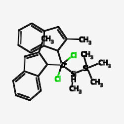 CC1=Cc2ccccc2[CH]1[Zr]([Cl])([Cl])([CH]1C(C)=Cc2ccccc21)[SiH](C)[Si](C)(C)C